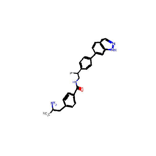 CC(C)C(CNC(=O)c1ccc(CC(N)C(=O)O)cc1)c1ccc(-c2ccc3cn[nH]c3c2)cc1